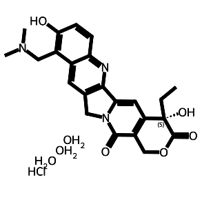 CC[C@@]1(O)C(=O)OCc2c1cc1n(c2=O)Cc2cc3c(CN(C)C)c(O)ccc3nc2-1.Cl.O.O.O